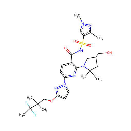 Cc1nn(C)cc1S(=O)(=O)NC(=O)c1ccc(-n2ccc(OCC(C)(C)C(C)(F)F)n2)nc1N1CC(CO)CC1(C)C